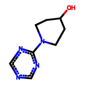 OC1CCN(c2ncncn2)CC1